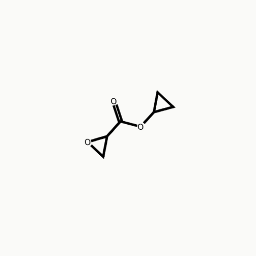 O=C(OC1CC1)C1CO1